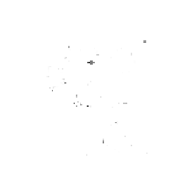 CC1CN(C(=O)c2ccc(-n3ncnc3[C@H](C)NC(=O)c3cc(C(F)(F)F)cc(C(F)(F)F)c3)nc2)CC(C)O1